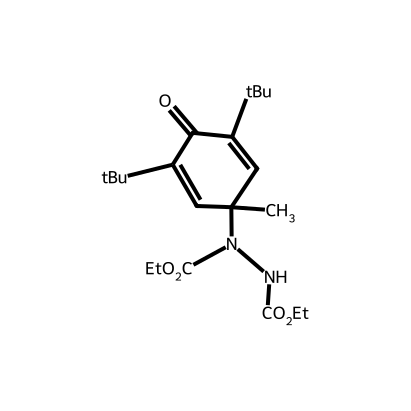 CCOC(=O)NN(C(=O)OCC)C1(C)C=C(C(C)(C)C)C(=O)C(C(C)(C)C)=C1